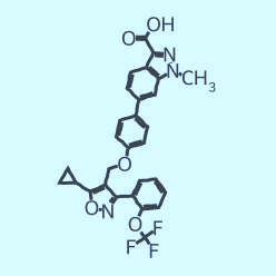 Cn1nc(C(=O)O)c2ccc(-c3ccc(OCc4c(-c5ccccc5OC(F)(F)F)noc4C4CC4)cc3)cc21